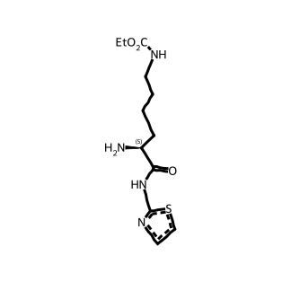 CCOC(=O)NCCCC[C@H](N)C(=O)Nc1nccs1